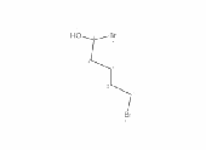 OC(Br)CCCCBr